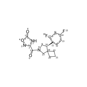 O=C(c1noc(=O)[nH]1)N1C[C@@H](c2ccc(F)cc2F)C2(CCC2)C1